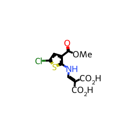 COC(=O)c1cc(Cl)sc1NC=C(C(=O)O)C(=O)O